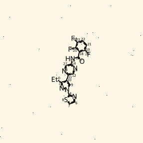 CCc1nn(-c2nccs2)cc1-c1cnc(NC(=O)c2c(F)ccc(F)c2F)cn1